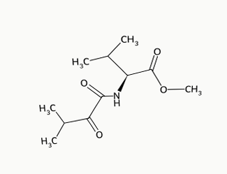 COC(=O)[C@@H](NC(=O)C(=O)C(C)C)C(C)C